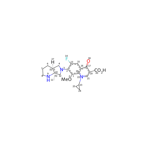 COc1c(N2C[C@@H]3CCCN[C@]3(C)C2)c(F)cc2c(=O)c(C(=O)O)cn(C3CC3)c12